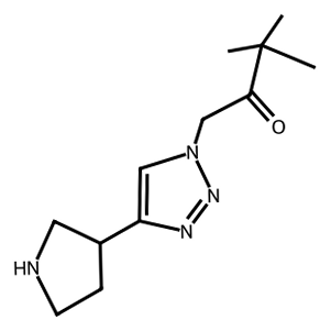 CC(C)(C)C(=O)Cn1cc(C2CCNC2)nn1